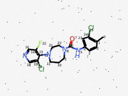 Cc1ccc(NC(=O)N2CCCN(c3c(F)cncc3Cl)CC2)cc1Cl